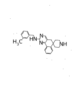 Cc1cccc(CNc2ncc3c(n2)-c2ccccc2C2(CCNCC2)C3)c1